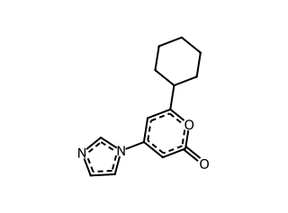 O=c1cc(-n2ccnc2)cc(C2CCCCC2)o1